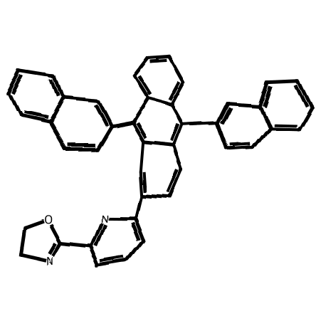 c1cc(C2=NCCO2)nc(-c2ccc3c(-c4ccc5ccccc5c4)c4ccccc4c(-c4ccc5ccccc5c4)c3c2)c1